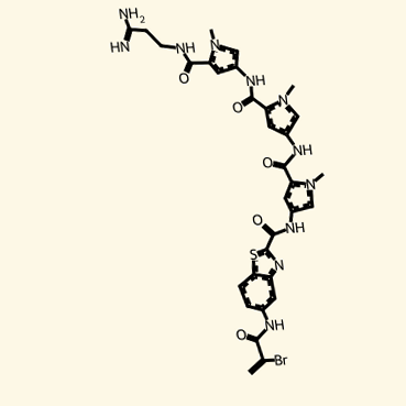 C=C(Br)C(=O)Nc1ccc2sc(C(=O)Nc3cc(C(=O)Nc4cc(C(=O)Nc5cc(C(=O)NCCC(=N)N)n(C)c5)n(C)c4)n(C)c3)nc2c1